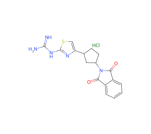 Cl.N=C(N)Nc1nc(C2CCC(N3C(=O)c4ccccc4C3=O)C2)cs1